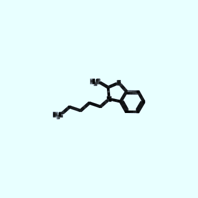 CCCCCN1c2ccccc2SC1C